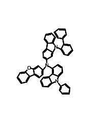 c1ccc(-c2ccccc2-n2c3ccccc3c3ccc(N(c4ccc5c(c4)oc4ccccc45)c4cccc5c4c4ccccc4n5-c4ccccc4)cc32)cc1